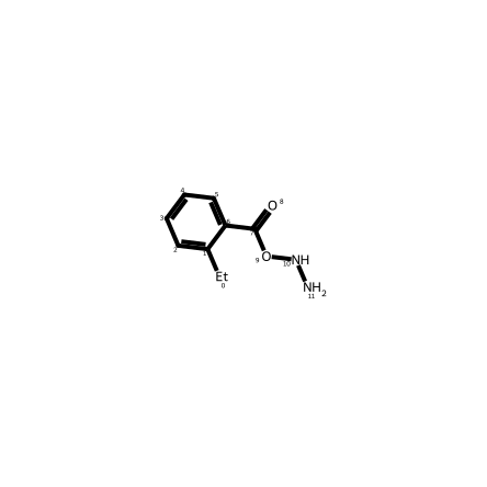 CCc1ccccc1C(=O)ONN